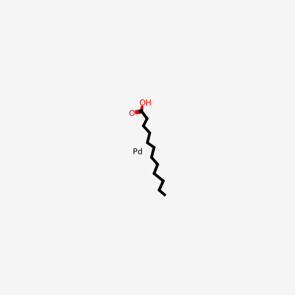 CCCCCCCCCCCC(=O)O.[Pd]